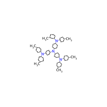 Cc1ccc(N(c2ccc(C)cc2)c2ccc(N(c3ccc(N(c4ccc(C)cc4)c4ccc(C)cc4)cc3)c3ccc(N(c4ccc(C)cc4)c4cccc(C)c4)cc3)cc2)cc1